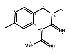 CNC(=N)NC(=N)N(C)Cc1ccc(C)cc1